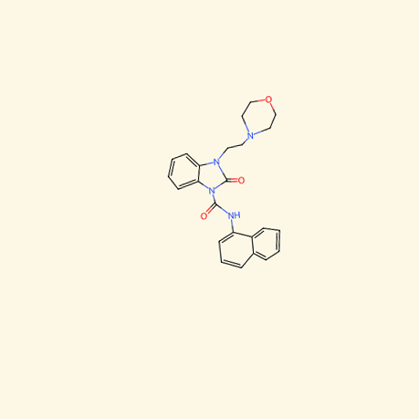 O=C(Nc1cccc2ccccc12)n1c(=O)n(CCN2CCOCC2)c2ccccc21